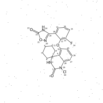 O=C1NC2(CCCCC2)c2c(Oc3c(F)cccc3-c3noc(=O)[nH]3)cccc2N1Cl